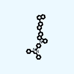 c1ccc(-c2cc(-c3ccccc3)nc(-c3ccc(-n4c5ccccc5c5c6ccc(-c7ccc8cc(-c9cccc%10ccccc9%10)ccc8c7)cc6ccc54)cc3)n2)cc1